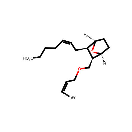 CCC/C=C\COC[C@H]1[C@@H](C/C=C\CCCC(=O)O)[C@H]2CC[C@@H]1O2